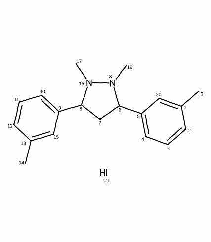 Cc1cccc(C2CC(c3cccc(C)c3)N(C)N2C)c1.I